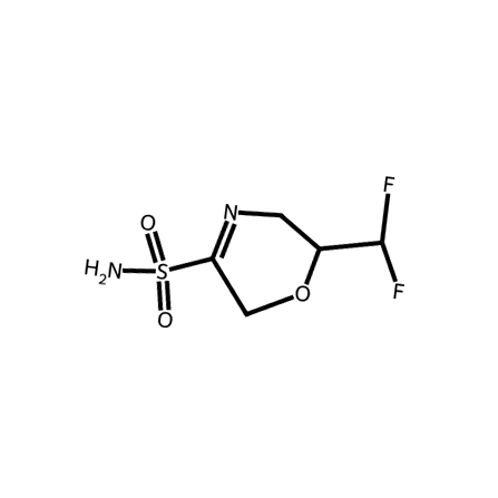 NS(=O)(=O)C1=NCC(C(F)F)OC1